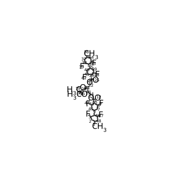 Cc1cc(F)c(-c2cc(F)c(C(=O)OC[C@H]3OC(C)(C)O[C@@H]3COC(=O)c3c(F)cc(-c4c(F)cc(C)cc4F)cc3F)c(F)c2)c(F)c1